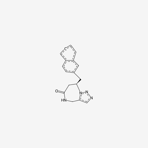 O=C1C[C@@H](Cc2ccc3ccccc3c2)n2nncc2CN1